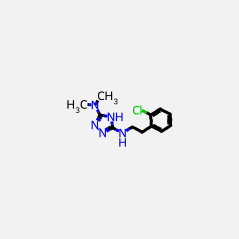 CN(C)c1nnc(NCCc2ccccc2Cl)[nH]1